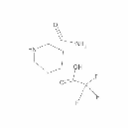 C1CCNCC1.NC=O.O=C(O)C(F)(F)F